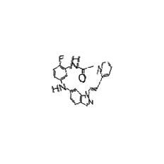 CC(=O)Nc1cc(Nc2ccc3cnn(C=Cc4ccccn4)c3c2)ccc1F